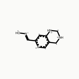 ON=Cc1cc2c(cn1)CNCN2